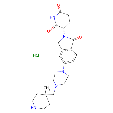 CC1(CN2CCN(c3ccc4c(c3)CN([C@H]3CCC(=O)NC3=O)C4=O)CC2)CCNCC1.Cl